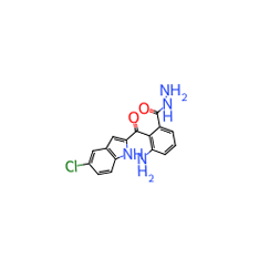 NNC(=O)c1cccc(N)c1C(=O)c1cc2cc(Cl)ccc2[nH]1